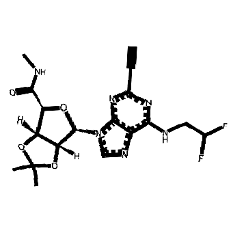 C#Cc1nc(NCC(F)F)c2ncn([C@@H]3O[C@H](C(=O)NC)[C@H]4OC(C)(C)O[C@H]43)c2n1